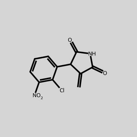 C=C1C(=O)NC(=O)C1c1cccc([N+](=O)[O-])c1Cl